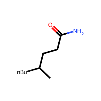 CCCCC(C)CCC(N)=O